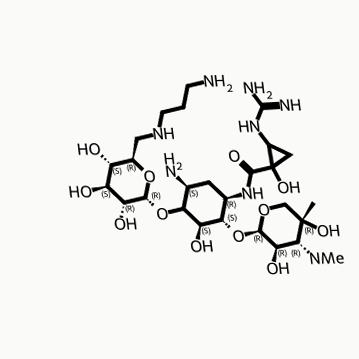 CN[C@@H]1[C@@H](O)[C@@H](O[C@H]2[C@H](NC(=O)C3(O)CC3NC(=N)N)C[C@H](N)C(O[C@H]3O[C@H](CNCCCN)[C@@H](O)[C@H](O)[C@H]3O)[C@@H]2O)OC[C@]1(C)O